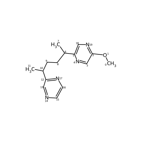 COc1cnc(C(C)CCC(C)c2cnccn2)cn1